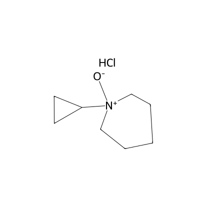 Cl.[O-][N+]1(C2CC2)CCCCC1